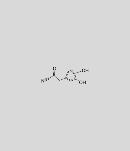 N#CC(=O)Cc1ccc(O)c(O)c1